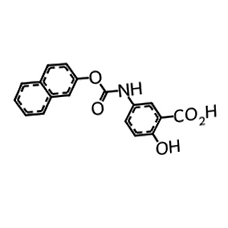 O=C(Nc1ccc(O)c(C(=O)O)c1)Oc1ccc2ccccc2c1